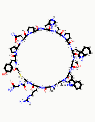 CCCC[C@H]1CN(C)[C@@H](CCCC)C(=O)N[C@@H](CCCNC(=N)N)C(=O)N[C@H](C(=O)NCC(N)=O)CSCC(=O)N[C@@H](Cc2ccc(O)cc2)C(=O)N2CCC[C@H]2C(=O)N[C@@H](CC(N)=O)C(=O)N2CCC[C@H]2C(=O)N[C@@H](Cc2cnc[nH]2)C(=O)N[C@@H](CC(C)C)C(=O)N2CCC[C@H]2C(=O)N[C@@H](Cc2c[nH]c3ccccc23)C(=O)N[C@@H](CO)C(=O)N[C@@H](Cc2c[nH]c3ccccc23)C(=O)N1C